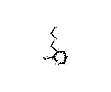 CCOCc1cccnc1Br